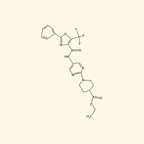 CCOC(=O)C1CCN(c2ncc(NC(=O)c3nc(-c4ccccc4)oc3C(F)(F)F)cn2)CC1